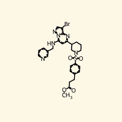 COC(=O)CCc1ccc(S(=O)(=O)N2CCCC(c3cc(NCc4cccnc4)n4ncc(Br)c4n3)C2)cc1